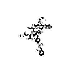 CC[C@H](C)[C@H](NC(=O)[C@H](CCC(N)=O)NC(=O)[C@H](Cc1c[nH]cn1)NC(=O)OC(C)(C)C)C(=O)N[C@@H](Cc1ccc(OC(=O)OCc2ccccc2Br)cc1)C(=O)N[C@@H](CCC(N)=O)C(=O)O